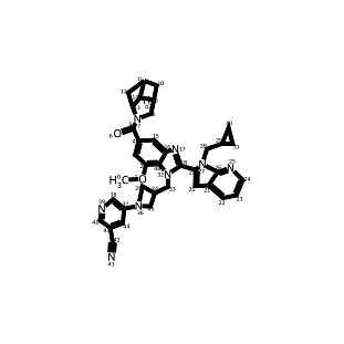 COc1cc(C(=O)N2CC3CC4CC2[C@H]43)cc2nc(-c3cc4cccnc4n3CC3CC3)n(CC3CN(c4cncc(C#N)c4)C3)c12